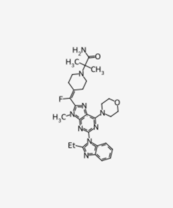 CCc1nc2ccccc2n1-c1nc(N2CCOCC2)c2nc(C(F)=C3CCN(C(C)(C)C(N)=O)CC3)n(C)c2n1